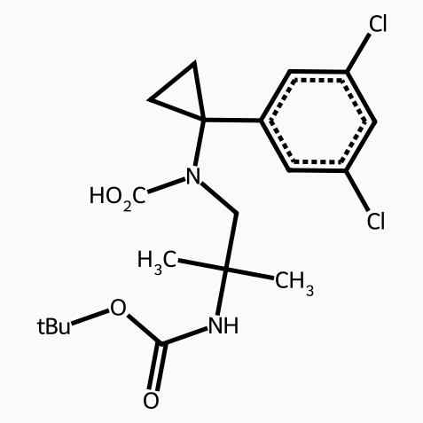 CC(C)(CN(C(=O)O)C1(c2cc(Cl)cc(Cl)c2)CC1)NC(=O)OC(C)(C)C